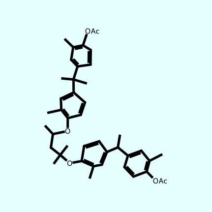 CC(=O)Oc1ccc(C(C)c2ccc(OC(C)(C)CC(C)Oc3ccc(C(C)(C)c4ccc(OC(C)=O)c(C)c4)cc3C)c(C)c2)cc1C